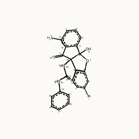 CC(C)c1ccc2c(c1)OC1(O)c3cccc(N)c3C(=O)C21NC(=S)Nc1ccccc1